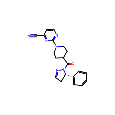 N#Cc1ccnc(N2CCC(C(=O)N3N=CC[C@H]3c3ccccc3)CC2)n1